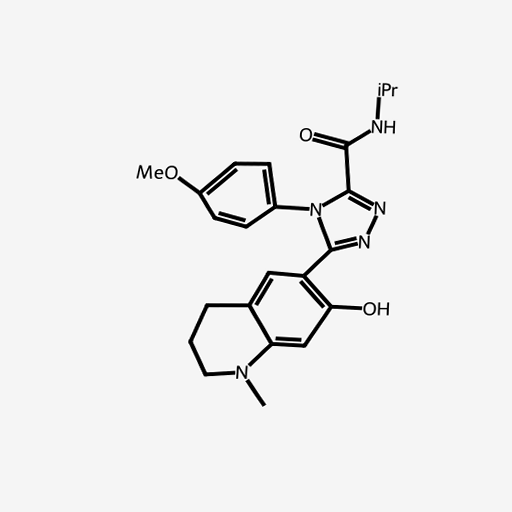 COc1ccc(-n2c(C(=O)NC(C)C)nnc2-c2cc3c(cc2O)N(C)CCC3)cc1